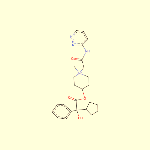 C[N+]1(CC(=O)Nc2cccnn2)CCC(OC(=O)C(O)(c2ccccc2)C2CCCC2)CC1